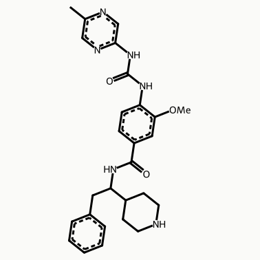 COc1cc(C(=O)NC(Cc2ccccc2)C2CCNCC2)ccc1NC(=O)Nc1cnc(C)cn1